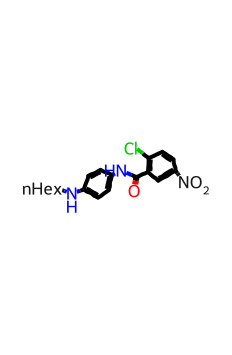 CCCCCCNc1ccc(NC(=O)c2cc([N+](=O)[O-])ccc2Cl)cc1